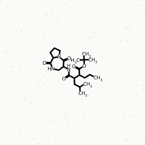 CCCC(C(=O)OC(C)(C)C)C(CC(C)C)C(=O)NC1CNC(=O)C2CCCN2C1=O